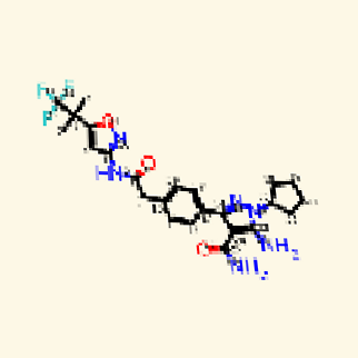 CC(C)(c1cc(NC(=O)Cc2ccc(-c3nn(C4CCCC4)c(N)c3C(N)=O)cc2)no1)C(F)(F)F